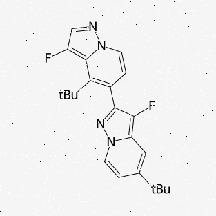 CC(C)(C)c1ccn2nc(-c3ccn4ncc(F)c4c3C(C)(C)C)c(F)c2c1